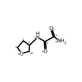 NC(=O)C(=O)NC1CCOC1